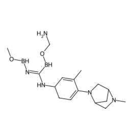 COB/N=C(\BOCN)NC1C=C(C)C(N2CC3CC2CN3C)=CC1